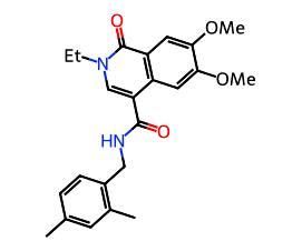 CCn1cc(C(=O)NCc2ccc(C)cc2C)c2cc(OC)c(OC)cc2c1=O